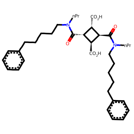 CCCN(CCCCCc1ccccc1)C(=O)[C@H]1[C@H](C(=O)O)[C@H](C(=O)N(CCC)CCCCCc2ccccc2)[C@H]1C(=O)O